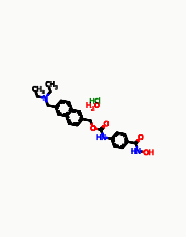 CCN(CC)Cc1ccc2cc(COC(=O)Nc3ccc(C(=O)NO)cc3)ccc2c1.Cl.O